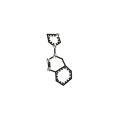 c1ccc2c(c1)CN(n1ccnc1)N=N2